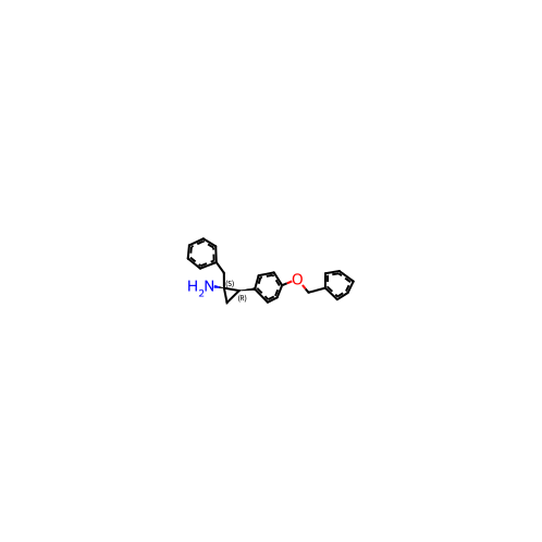 N[C@]1(Cc2ccccc2)C[C@@H]1c1ccc(OCc2ccccc2)cc1